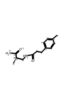 Cc1ccc(CCC(=O)NC[C@@H](C)C(N)=O)cc1